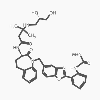 CNC(=O)Nc1ccccc1-c1nc2cc(CN3C(=O)[C@H](NC(=O)CC(C)(C)NC[C@H](O)CO)CCc4ccccc43)ccc2o1